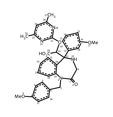 COc1ccc(CN2C(=O)CNC(c3cccc(OC)c3)(C(Oc3nc(C)cc(C)n3)C(=O)O)c3ccccc32)cc1